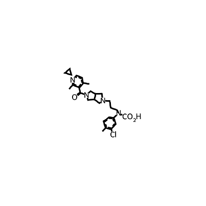 C1CC1.Cc1ccc(N(CCCN2CC3CN(C(=O)c4c(C)ccnc4C)CC3C2)C(=O)O)cc1Cl